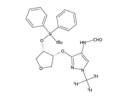 [2H]C([2H])([2H])n1cc(NC=O)c(O[C@@H]2COC[C@@H]2O[Si](c2ccccc2)(c2ccccc2)C(C)(C)C)n1